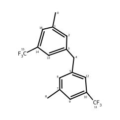 Cc1cc(Cc2cc(C)cc(C(F)(F)F)c2)cc(C(F)(F)F)c1